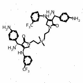 C[N+](C)(CCCN1CC(Nc2cccc(C(F)(F)F)c2)=C([C@H](N)c2ccc(N)cc2)C1=O)CCN1CC(Nc2cccc(C(F)(F)F)c2)=C([C@H](N)c2ccc(N)cc2)C1=O